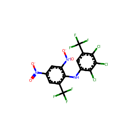 O=[N+]([O-])c1cc([N+](=O)[O-])c(Nc2cc(C(F)(F)F)c(Cl)c(Cl)c2Cl)c(C(F)(F)F)c1